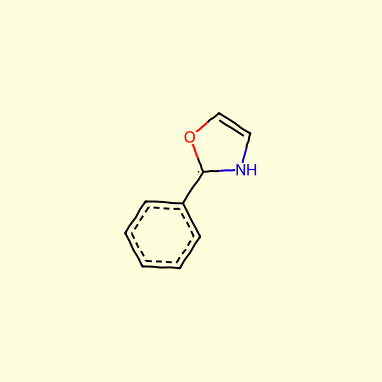 C1=CO[C](c2ccccc2)N1